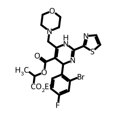 CCOC(=O)C(C)OC(=O)C1=C(CN2CCOCC2)NC(c2nccs2)=NC1c1ccc(F)cc1Br